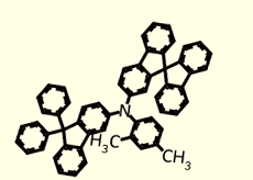 Cc1ccc(N(c2ccc3c(c2)-c2ccccc2C3(c2ccccc2)c2ccccc2)c2ccc3c(c2)C2(c4ccccc4-c4ccccc42)c2ccccc2-3)c(C)c1